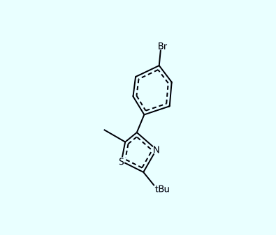 Cc1sc(C(C)(C)C)nc1-c1ccc(Br)cc1